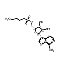 CCCCCS(=O)(=O)OC[C@H]1O[C@@H](n2cnc3c(N)ncnc32)[C@H](O)[C@@H]1O